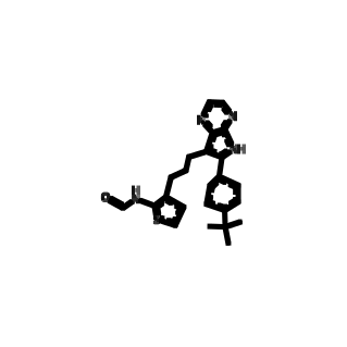 CC(C)(C)c1ccc(-c2[nH]c3nccnc3c2CCCc2ccsc2NC=O)cc1